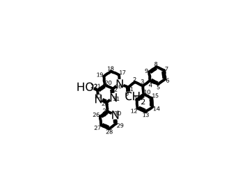 C=C(CC(c1ccccc1)c1ccccc1)N1CCCc2c(O)nc(-c3ccccn3)nc21